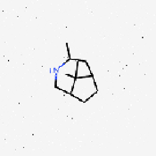 CC1CC2CCC(CN1)C2(C)C